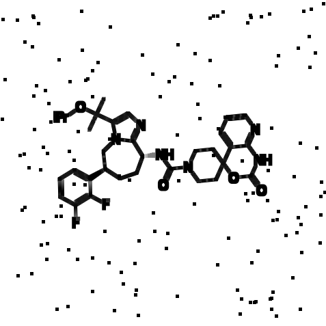 CC(C)OC(C)(C)c1cnc2n1C[C@H](c1cccc(F)c1F)CC[C@H]2NC(=O)N1CCC2(CC1)OC(=O)Nc1ncccc12